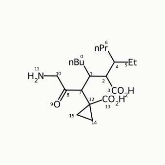 CCCCC(C(C(=O)O)C(CC)CCC)C(C(=O)CN)C1(C(=O)O)CC1